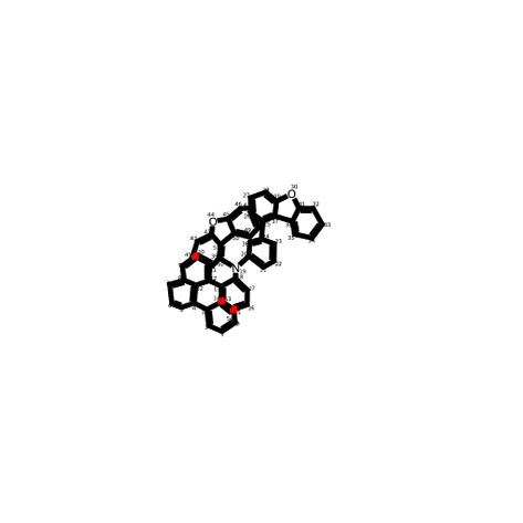 c1ccc(-c2cccc3cccc(-c4ccccc4N(c4cccc(-c5cccc6oc7ccccc7c56)c4)c4cccc5oc6ccccc6c45)c23)cc1